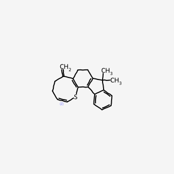 C=C1CC/C=C\SC2=C1CCC1=C2c2ccccc2C1(C)C